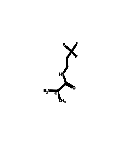 C[C@@H](N)C(=O)NCCC(F)(F)F